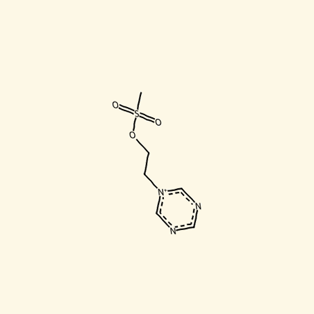 CS(=O)(=O)OCC[n+]1cncnc1